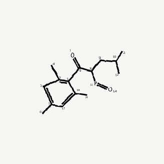 Cc1cc(C)c(C(=O)C(CC(C)C)P=O)c(C)c1